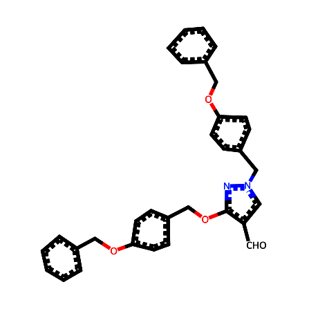 O=Cc1cn(Cc2ccc(OCc3ccccc3)cc2)nc1OCc1ccc(OCc2ccccc2)cc1